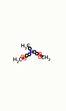 C=CC(=O)Oc1ccc2cc(N(c3ccc(C)cc3)c3ccc4cc(OC(=O)C=C)ccc4c3)ccc2c1